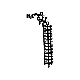 C=CC(=O)OC(F)(F)C(F)(F)OC(F)(F)C(F)(F)C(F)(F)C(F)(F)C(F)(F)C(F)(F)C(F)(F)C(F)(F)C(F)(F)C(F)(F)C(F)(F)C(F)(F)F